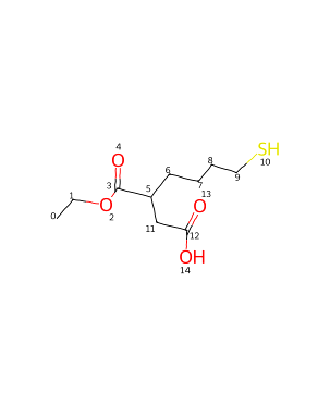 CCOC(=O)C(CCCCS)CC(=O)O